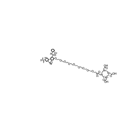 COc1ccccc1N(C)C(=O)c1cc(-c2cnc(C(F)(F)F)cc2C#N)c(Cl)cc1OCCOCCOCCOCCOCCOCCOCCOCCOCCNC(=O)CN1CCN(CC(=O)O)CCN(CC(=O)O)CCN(CC(=O)O)CC1